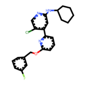 Fc1cccc(COc2cccc(-c3cc(NC4CCCCC4)ncc3Cl)n2)c1